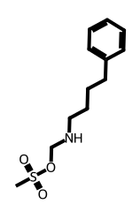 CS(=O)(=O)OCNCCCCc1ccccc1